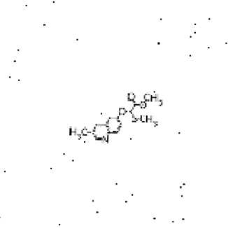 COC(=O)C(Oc1ccc2ncc(C)cc2c1)SC